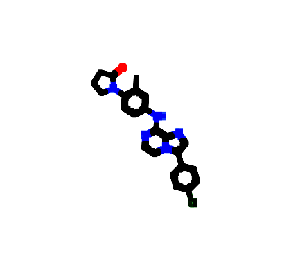 Cc1cc(Nc2nccn3c(-c4ccc(Cl)cc4)cnc23)ccc1N1CCCC1=O